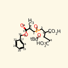 CC(CP(=O)(CC(CCC(=O)O)C(=O)O)OC(C)(C)C)C(=O)OCc1ccccc1